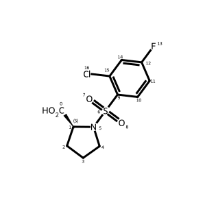 O=C(O)[C@@H]1CCCN1S(=O)(=O)c1ccc(F)cc1Cl